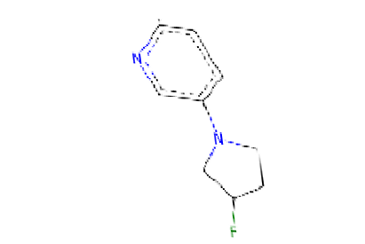 FC1CCN(c2cc[c]nc2)C1